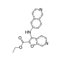 CCOC(=O)c1oc2cnccc2c1Nc1ccc2cnccc2c1